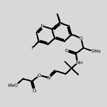 COCC(=O)ON=CCC(C)(C)NC(=O)C(Oc1cc(C)c2ncc(I)cc2c1)SC